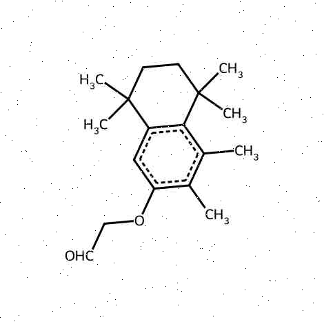 Cc1c(OCC=O)cc2c(c1C)C(C)(C)CCC2(C)C